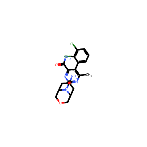 Cc1nc(N2C3COCC2CC(N)C3)nc(C(N)=O)c1-c1cccc(Cl)c1Cl